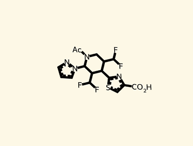 CC(=O)N1CC(C(F)F)C(c2nc(C(=O)O)cs2)C(C(F)F)C1n1cccn1